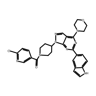 O=C(c1ccc(Cl)nc1)N1CCC(n2ncc3c(N4CCOCC4)nc(-c4ccc5[nH]ccc5c4)nc32)CC1